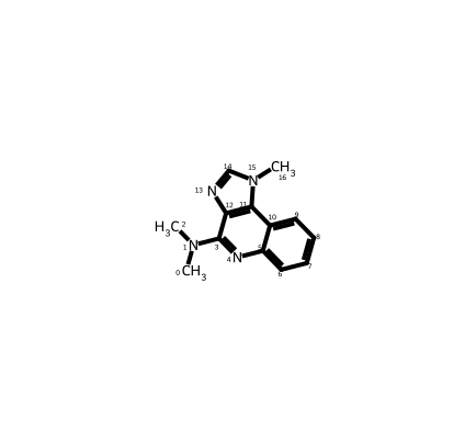 CN(C)c1nc2ccccc2c2c1ncn2C